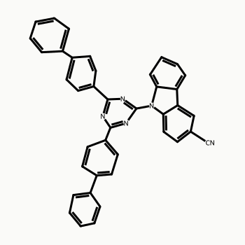 N#Cc1ccc2c(c1)c1ccccc1n2-c1nc(-c2ccc(-c3ccccc3)cc2)nc(-c2ccc(-c3ccccc3)cc2)n1